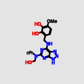 CCCN(CO)c1nc(NCc2ccc(OC)c(O)c2O)c2nn[nH]c2n1